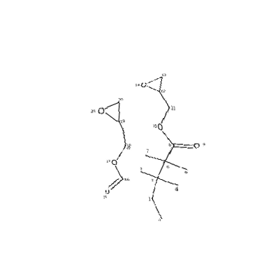 CCC(C)(C)C(C)(C)C(=O)OCC1CO1.O=COCC1CO1